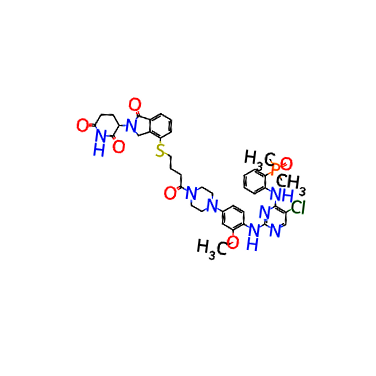 COc1cc(N2CCN(C(=O)CCCSc3cccc4c3CN(C3CCC(=O)NC3=O)C4=O)CC2)ccc1Nc1ncc(Cl)c(Nc2ccccc2P(C)(C)=O)n1